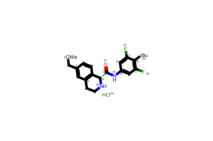 COCc1ccc2c(c1)CCN[C@H]2C(=O)Nc1cc(F)c(C(C)(C)C)c(F)c1.Cl